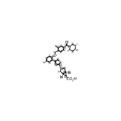 Cc1ccc(OCc2ccc(C(=O)N3CCCCC3)cc2C)c(-c2csc(N3C[C@@H]4[C@H](C3)[C@@H]4C(=O)O)n2)c1